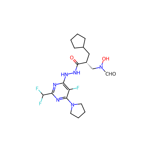 O=CN(O)C[C@@H](CC1CCCC1)C(=O)NNc1nc(C(F)F)nc(N2CCCC2)c1F